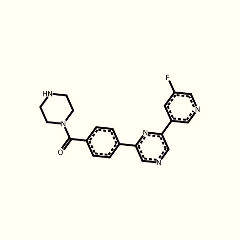 O=C(c1ccc(-c2cncc(-c3cncc(F)c3)n2)cc1)N1CCNCC1